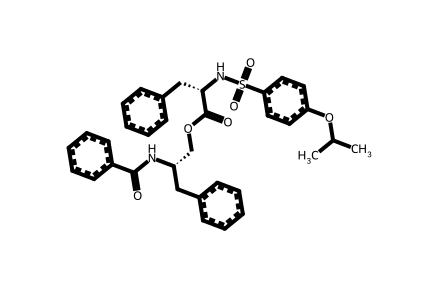 CC(C)Oc1ccc(S(=O)(=O)N[C@@H](Cc2ccccc2)C(=O)OC[C@H](Cc2ccccc2)NC(=O)c2ccccc2)cc1